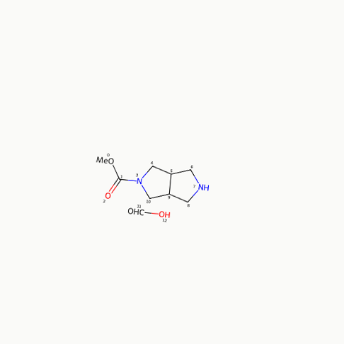 COC(=O)N1CC2CNCC2C1.O=CO